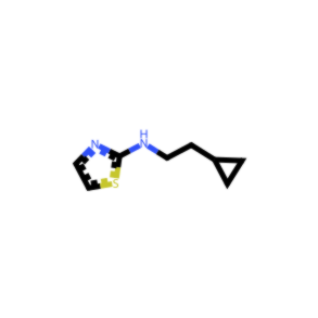 c1csc(NCCC2CC2)n1